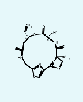 C=C[C@H]1CC(=O)NCc2nc(cs2)C2=N[C@@](C)(CS2)C(=O)N[C@@H](C(C)C)C(=O)O1